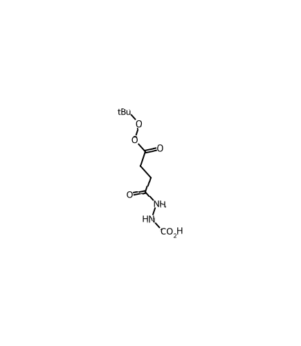 CC(C)(C)OOC(=O)CCC(=O)NNC(=O)O